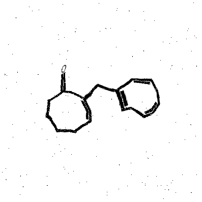 O=C1CCCCC=C1Cc1ccccc1